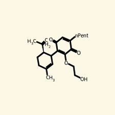 C=C(C)[C@@H]1CCC(C)=CC1C1=C(OCCO)C(=O)C(CCCCC)=CC1=O